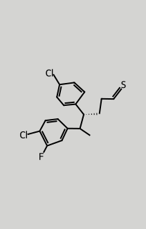 CC(c1ccc(Cl)c(F)c1)[C@@H](CCC=S)c1ccc(Cl)cc1